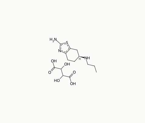 CCCN[C@H]1CCc2nc(N)sc2C1.O=C(O)C(O)C(O)C(=O)O